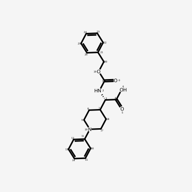 O=C(N[C@H](C(=O)O)C1CCN(c2ccccc2)CC1)OCc1ccccc1